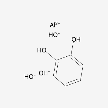 Oc1ccccc1O.[Al+3].[OH-].[OH-].[OH-]